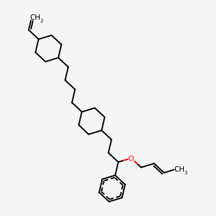 C=CC1CCC(CCCCC2CCC(CCC(OCC=CC)c3ccccc3)CC2)CC1